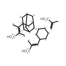 C=C(C)C(=O)O.CC(=CC1CCCCC1)C(=O)O.CC(C(=O)O)=C(C)C12CC3CC(CC(C3)C1)C2